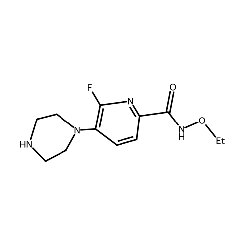 CCONC(=O)c1ccc(N2CCNCC2)c(F)n1